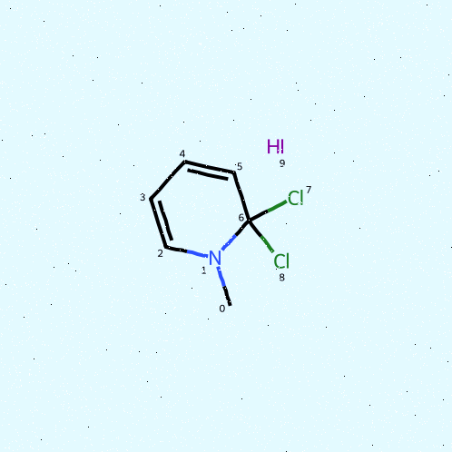 CN1C=CC=CC1(Cl)Cl.I